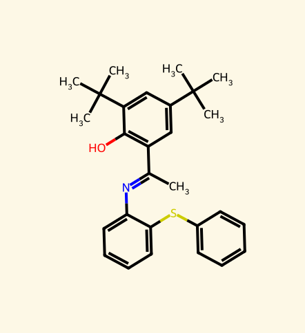 C/C(=N\c1ccccc1Sc1ccccc1)c1cc(C(C)(C)C)cc(C(C)(C)C)c1O